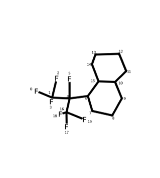 FC(F)(F)C(F)(C1CCCC2CCCCC21)C(F)(F)F